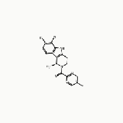 C[C@H]1c2c([nH]c3c(Cl)c(Cl)ccc23)CCN1C(=O)c1ncc(F)cn1